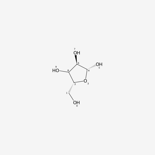 OC[C@H]1O[C@@H](O)[C@H](O)C1O